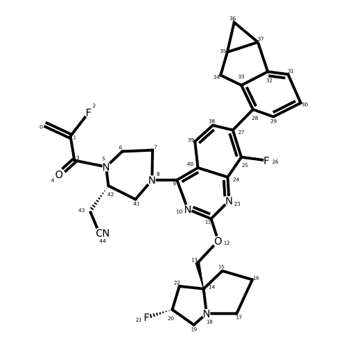 C=C(F)C(=O)N1CCN(c2nc(OC[C@@]34CCCN3C[C@H](F)C4)nc3c(F)c(-c4cccc5c4CC4CC54)ccc23)C[C@@H]1CC#N